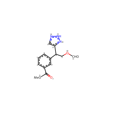 COC(=O)c1cccc(C(COC=O)c2cn[nH]n2)c1